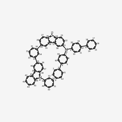 c1ccc(-c2ccc(N(c3ccc(-c4ccccc4)cc3)c3ccc4sc5ccc(-c6cccc(-c7ccc8c(c7)c7ccccc7n8-c7ccccc7)c6)cc5c4c3)cc2)cc1